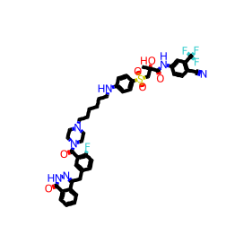 CC(O)(CS(=O)(=O)c1ccc(NCCCCCCN2CCN(C(=O)c3cc(Cc4n[nH]c(=O)c5ccccc45)ccc3F)CC2)cc1)C(=O)Nc1ccc(C#N)c(C(F)(F)F)c1